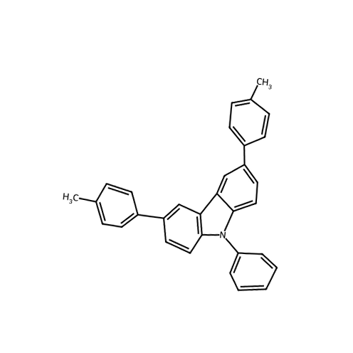 Cc1ccc(-c2ccc3c(c2)c2cc(-c4ccc(C)cc4)ccc2n3-c2ccccc2)cc1